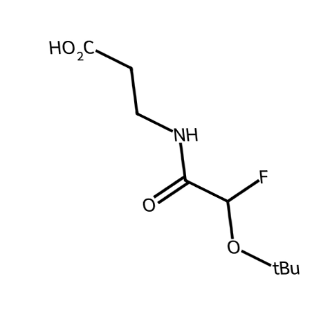 CC(C)(C)OC(F)C(=O)NCCC(=O)O